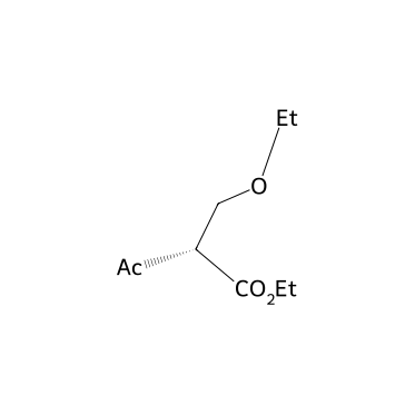 CCOC[C@@H](C(C)=O)C(=O)OCC